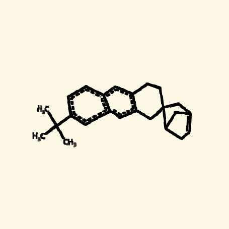 CC(C)(C)c1ccc2cc3c(cc2c1)CC1(CC3)CC2=CCC1C2